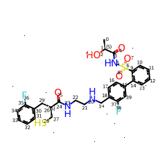 C[C@H](O)C(=O)NS(=O)(=O)c1ccccc1-c1ccc(CNCCNC(=O)[C@@H](CS)Cc2ccccc2F)c(F)c1